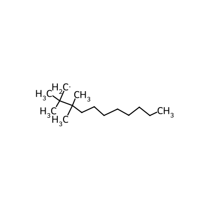 [CH2]C(C)(C)C(C)(C)CCCCCCCC